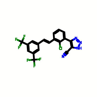 N#Cc1[nH]nnc1-c1cccc(/C=C/c2cc(C(F)(F)F)cc(C(F)(F)F)c2)c1Cl